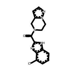 O=C(c1nc2c(Cl)cccc2[nH]1)N1CCn2nccc2C1